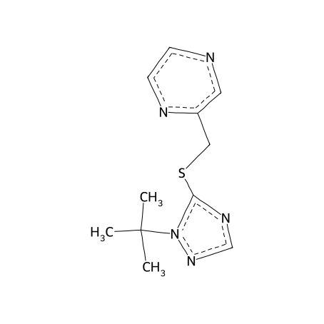 CC(C)(C)n1ncnc1SCc1cnccn1